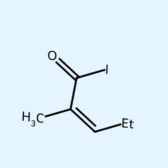 CCC=C(C)C(=O)I